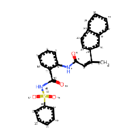 C/C(=C/C(=O)Nc1ccccc1C(=O)NS(=O)(=O)c1ccccc1)c1ccc2ccccc2c1